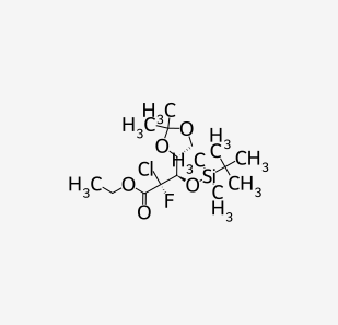 CCOC(=O)[C@@](F)(Cl)[C@H](O[Si](C)(C)C(C)(C)C)[C@H]1COC(C)(C)O1